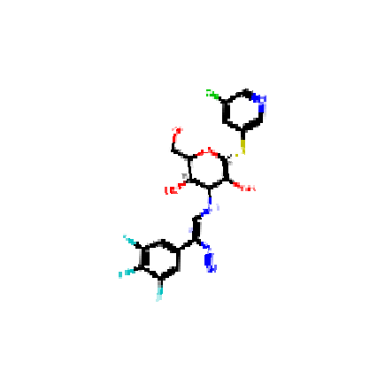 N=N/C(=C\NC1C(O)[C@@H](Sc2cncc(Cl)c2)OC(CO)[C@@H]1O)c1cc(F)c(F)c(F)c1